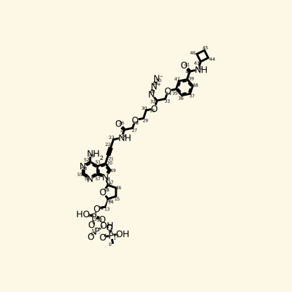 CP(=O)(O)OP(=O)(O)OP(=O)(O)OC[C@@H]1CC[C@H](n2cc(C#CCNC(=O)COCCOC(COc3cccc(C(=O)NC4CCC4)c3)N=[N+]=[N-])c3c(N)ncnc32)O1